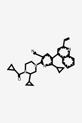 C=Cc1cc(-c2cc(C#N)c(N3CCN(C(=O)C4CC4)C(C4CC4)C3)nc2C2CC2)c2ccccc2n1